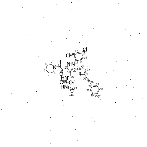 O=C(NN1CCCCC1)c1nn(-c2ccc(Cl)cc2Cl)c(-c2ccc(C#Cc3ccc(Cl)cc3)s2)c1CNS(=O)(=O)NC1CC1